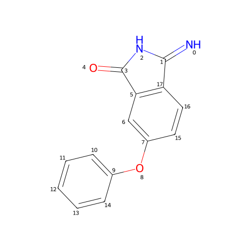 N=C1NC(=O)c2cc(Oc3ccccc3)ccc21